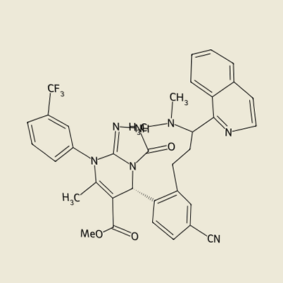 COC(=O)C1=C(C)N(c2cccc(C(F)(F)F)c2)c2n[nH]c(=O)n2[C@@H]1c1ccc(C#N)cc1CCC(c1nccc2ccccc12)N(C)C